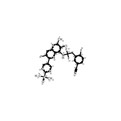 Cc1nc2cc(F)c(-c3cnc(P(C)(C)=O)nc3)nc2c(NC(F)(F)Cc2cc(C#N)ccc2F)c1Cl